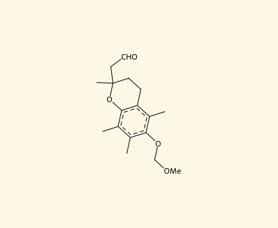 COCOc1c(C)c(C)c2c(c1C)CCC(C)(CC=O)O2